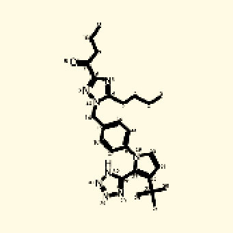 CCCCc1nc(C(=O)CCC)nn1Cc1ccc(-n2ccc(C(C)(C)C)c2-c2nnn[nH]2)cc1